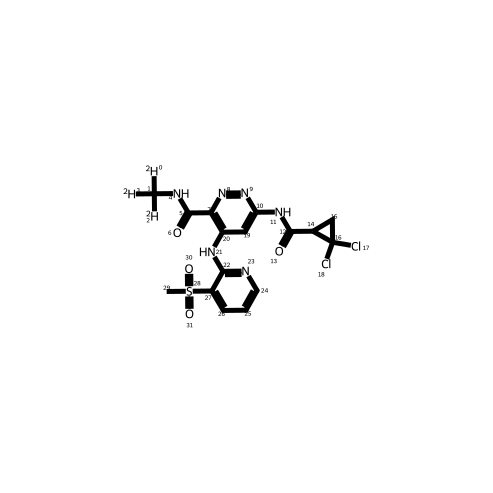 [2H]C([2H])([2H])NC(=O)c1nnc(NC(=O)C2CC2(Cl)Cl)cc1Nc1ncccc1S(C)(=O)=O